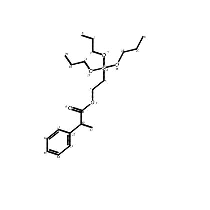 CCCO[Si](CCOC(=O)C(C)c1ccccc1)(OCCC)OCCC